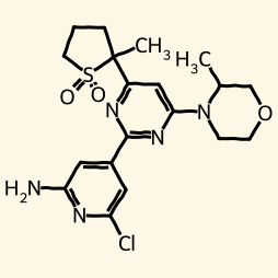 CC1COCCN1c1cc(C2(C)CCCS2(=O)=O)nc(-c2cc(N)nc(Cl)c2)n1